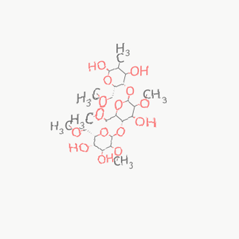 COCC1O[C@@H](O[C@H]2C(O)C(C)[C@H](O)O[C@H]2COC)C(OC)[C@@H](O)[C@@H]1O[C@@H]1O[C@@H](COC)[C@@H](O)C(O)C1OC